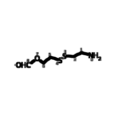 NCCSSCCO[C]=O